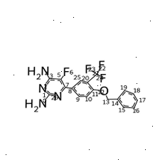 Nc1nc(N)c(F)c(-c2ccc(OCc3ccccc3)c(C(F)(F)F)c2)n1